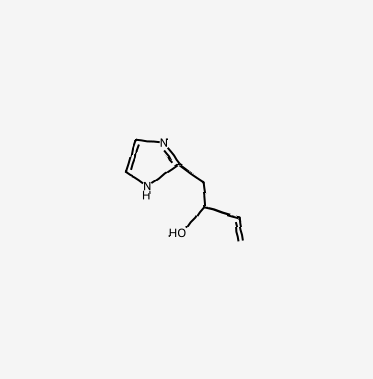 C=CC(O)Cc1ncc[nH]1